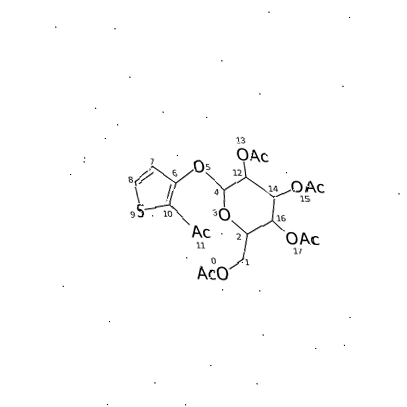 CC(=O)OCC1OC(Oc2ccsc2C(C)=O)C(OC(C)=O)C(OC(C)=O)C1OC(C)=O